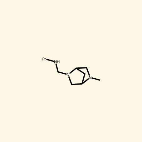 CC(C)NCN1CC2CC1CN2C